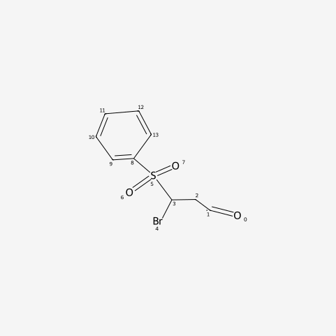 O=[C]CC(Br)S(=O)(=O)c1ccccc1